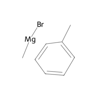 Cc1ccccc1.[CH3][Mg][Br]